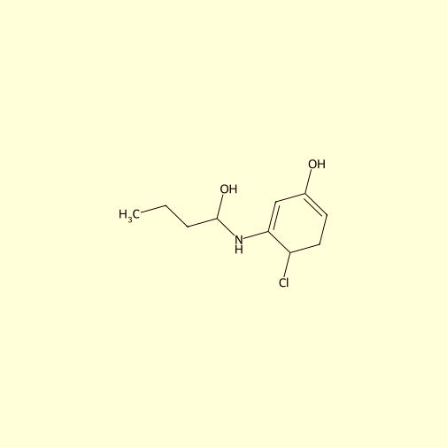 CCCC(O)NC1=CC(O)=CCC1Cl